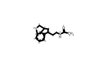 CC(=O)NCCC1CC2CSc3cccc1c32